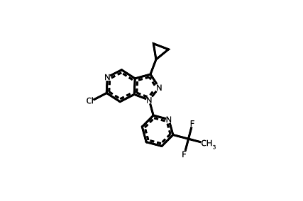 CC(F)(F)c1cccc(-n2nc(C3CC3)c3cnc(Cl)cc32)n1